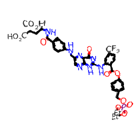 CCOP(=O)(OCC)OCc1ccc(OC(=O)c2ccc(C(F)(F)F)cc2Nc2nc(=O)c3nc(CNc4ccc(C(=O)N[C@@H](CCC(=O)O)C(=O)O)cc4)cnc3[nH]2)cc1